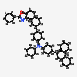 c1ccc(-c2nc3c(ccc4ccc(-c5ccc(N(c6ccccc6)c6ccc(-c7cc8ccccc8c8ccccc78)cc6)cc5)cc43)o2)cc1